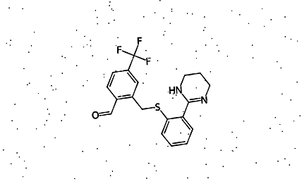 O=Cc1ccc(C(F)(F)F)cc1CSc1ccccc1C1=NCCCN1